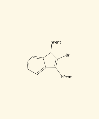 CCCCCC1=C(Br)C(CCCCC)c2ccccc21